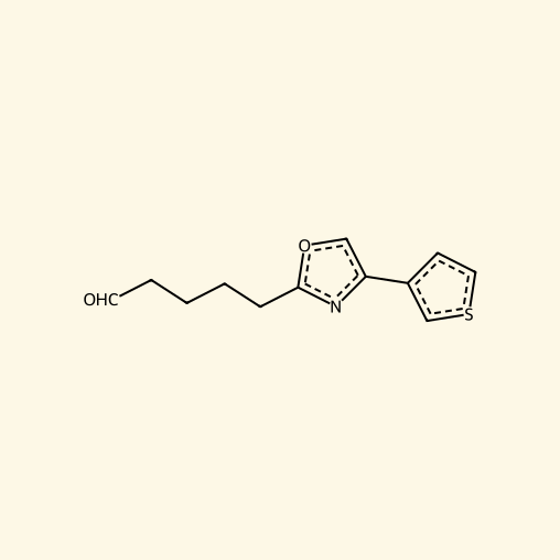 O=CCCCCc1nc(-c2ccsc2)co1